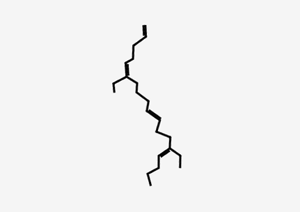 C=CCCC=C(CC)CCCC=CCCC(=CCCC)CC